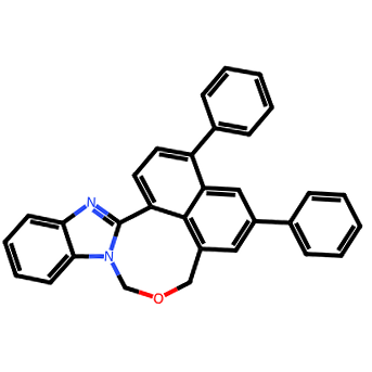 c1ccc(-c2cc3c4c(ccc(-c5ccccc5)c4c2)-c2nc4ccccc4n2COC3)cc1